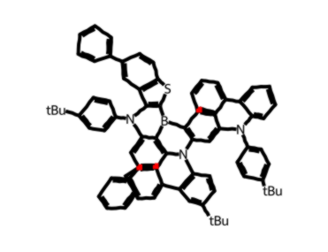 CC(C)(C)c1ccc(N(c2ccc3c(c2)N(c2ccc(C(C)(C)C)cc2-c2ccccc2)c2cc(-c4ccccc4)cc4c2B3c2sc3ccc(-c5ccccc5)cc3c2N4c2ccc(C(C)(C)C)cc2)c2ccccc2-c2ccccc2)cc1